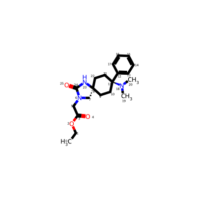 CCOC(=O)CN1C[C@]2(CC[C@](c3ccccc3)(N(C)C)CC2)NC1=O